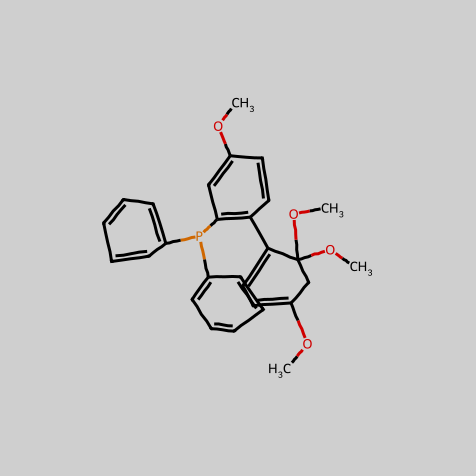 COC1=CC=C(c2ccc(OC)cc2P(c2ccccc2)c2ccccc2)C(OC)(OC)C1